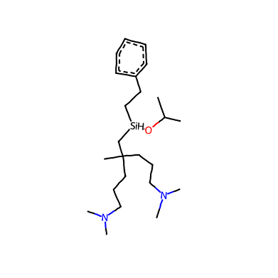 CC(C)O[SiH](CCc1ccccc1)CC(C)(CCCN(C)C)CCCN(C)C